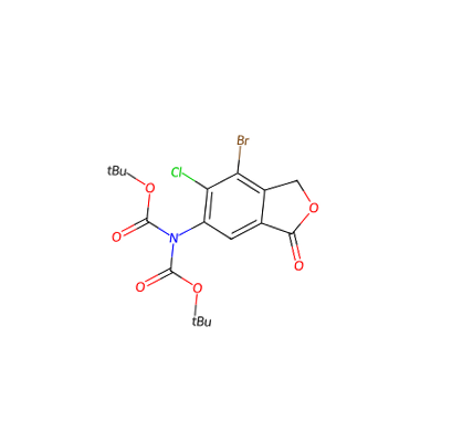 CC(C)(C)OC(=O)N(C(=O)OC(C)(C)C)c1cc2c(c(Br)c1Cl)COC2=O